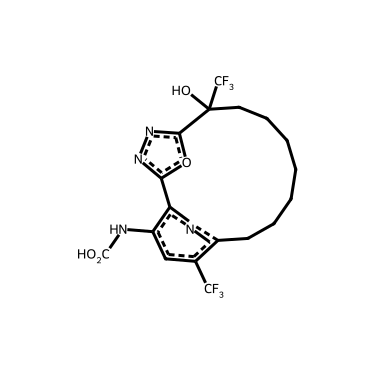 O=C(O)Nc1cc(C(F)(F)F)c2nc1-c1nnc(o1)C(O)(C(F)(F)F)CCCCCCC2